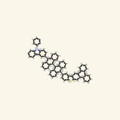 c1ccc(-n2c3ccccc3c3cc(-c4c5ccccc5c(-c5c6ccccc6c(-c6ccc7sc8cc9c%10ccccc%10c%10ccccc%10c9cc8c7c6)c6ccccc56)c5ccccc45)ccc32)cc1